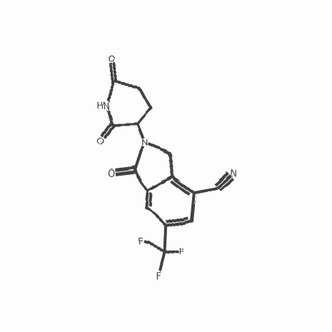 N#Cc1cc(C(F)(F)F)cc2c1CN(C1CCC(=O)NC1=O)C2=O